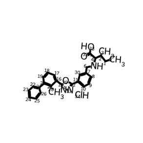 CCC(C)C(NCc1cccc(-c2nnc(-c3cccc(-c4ccccc4)c3C)o2)c1)C(=O)O.Cl